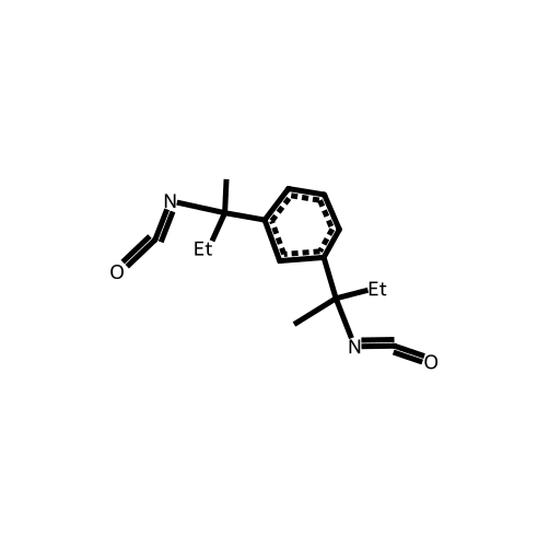 CCC(C)(N=C=O)c1cccc(C(C)(CC)N=C=O)c1